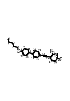 CCCCCOc1ccc(-c2ccc(C#Cc3ccc(F)nc3F)cc2)cc1